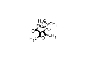 CCC(=O)c1c(C)oc(C)c1S(=O)(=O)N(C)C